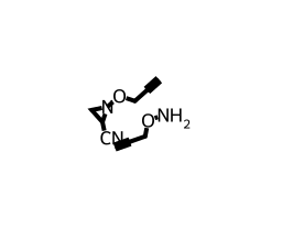 C#CCON.C#CCON1CC1C#N